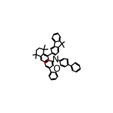 CC1(C)CCC(C)(C)c2c(-c3cc4c(cc3N(c3ccc(-c5ccccc5)cc3)c3cccc5c3oc3ccccc35)C(C)(C)c3ccccc3-4)cccc21